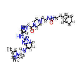 CCc1cnn(C2(CC#N)CN(c3cccn4nc(Nc5cnn(CC(=O)N6CCN(CCNC(=O)CCCC7CC8CCCC(C7)C8)CC6)c5)nc34)C2)c1